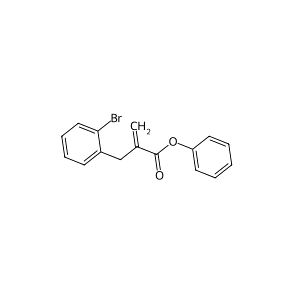 C=C(Cc1ccccc1Br)C(=O)Oc1ccccc1